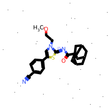 COCCn1cc(-c2ccc(C#N)cc2)s/c1=N\C(=O)C12CC3CC(CC(C3)C1)C2